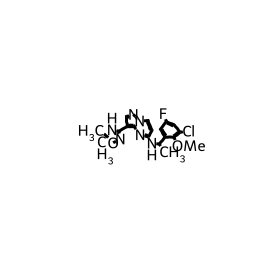 COc1c(Cl)cc(F)cc1C(C)Nc1ccn2ncc(C3=NOC(C)(C)N3)c2n1